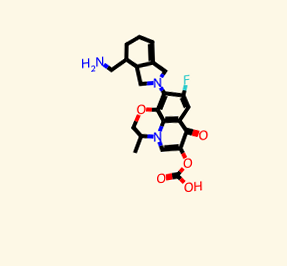 CC1COc2c(N3CC4=CCCC(CN)C4C3)c(F)cc3c(=O)c(OC(=O)O)cn1c23